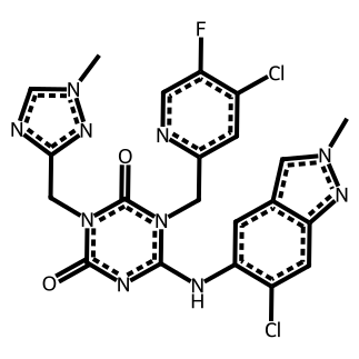 Cn1cnc(Cn2c(=O)nc(Nc3cc4cn(C)nc4cc3Cl)n(Cc3cc(Cl)c(F)cn3)c2=O)n1